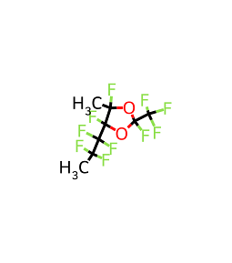 CC(F)(F)C(F)(F)C1(F)OC(F)(C(F)(F)F)OC1(C)F